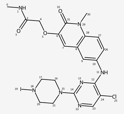 CNC(=O)COc1cc2cc(Nc3nc(N4CCN(I)CC4)ncc3Cl)ccc2n(C)c1=O